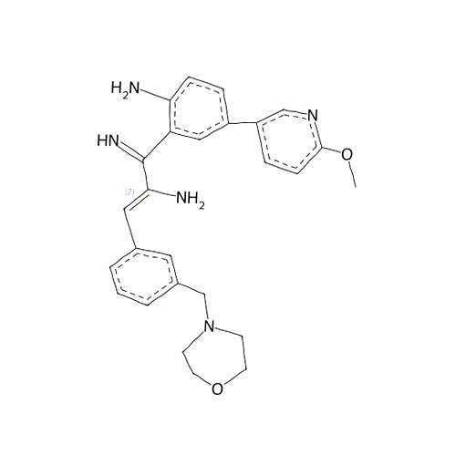 COc1ccc(-c2ccc(N)c(C(=N)/C(N)=C/c3cccc(CN4CCOCC4)c3)c2)cn1